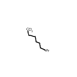 CC(C)CCCCCC(Cl)(Cl)Cl